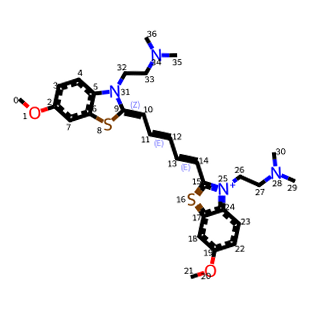 COc1ccc2c(c1)S\C(=C/C=C/C=C/c1sc3cc(OC)ccc3[n+]1CCN(C)C)N2CCN(C)C